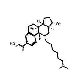 C=C[C@@]12CCc3cc(NS(=O)(=O)O)ccc3[C@H]1[C@@H](CCCCCCN(C)C)C[C@@]1(C)[C@H]2CC[C@@H]1O